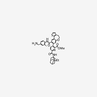 CCC12CC3CC(C1)CC(NC(=O)c1ccc(-c4cc5c(cc4C(=O)Nc4ccc(CN)cc4C)-c4sccc4CCO5)c(C(=O)OC)n1)(C3)C2